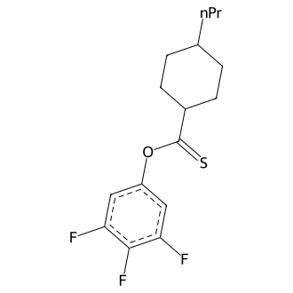 CCCC1CCC(C(=S)Oc2cc(F)c(F)c(F)c2)CC1